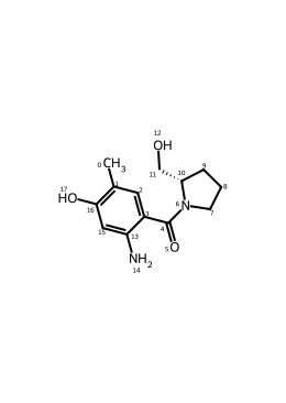 Cc1cc(C(=O)N2CCC[C@H]2CO)c(N)cc1O